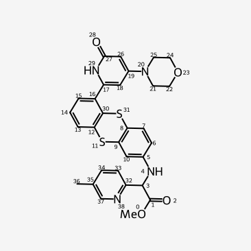 COC(=O)C(Nc1ccc2c(c1)Sc1cccc(-c3cc(N4CCOCC4)cc(=O)[nH]3)c1S2)c1ccc(C)cn1